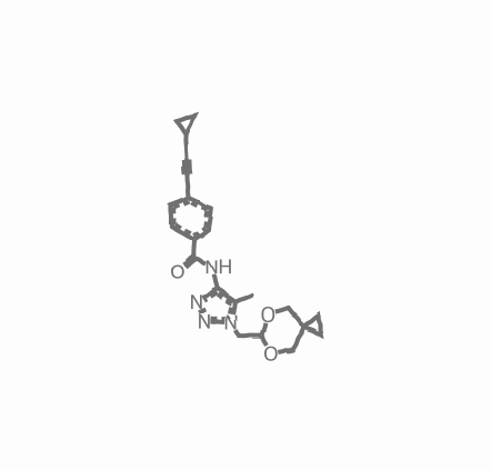 Cc1c(NC(=O)c2ccc(C#CC3CC3)cc2)nnn1CC1OCC2(CC2)CO1